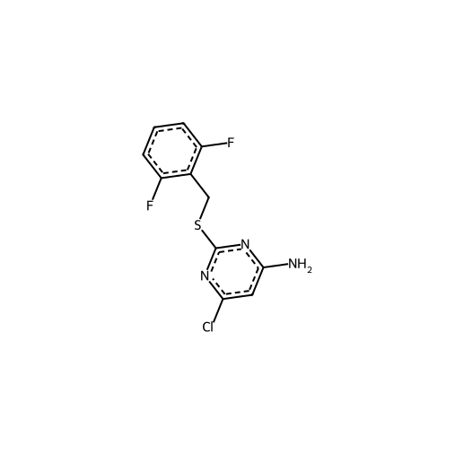 Nc1cc(Cl)nc(SCc2c(F)cccc2F)n1